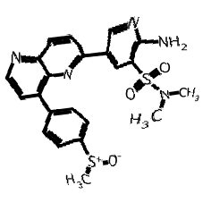 CN(C)S(=O)(=O)c1cc(-c2ccc3nccc(-c4ccc([S+](C)[O-])cc4)c3n2)cnc1N